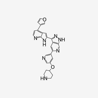 c1cc(-c2ccoc2)c2cc(-c3n[nH]c4cnc(-c5cncc(OC6CCNCC6)c5)cc34)[nH]c2n1